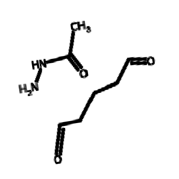 CC(=O)NN.O=CCCCC=O